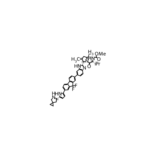 COC(=O)N[C@@H](C(=O)N1[C@H](C)C[C@H](C)[C@H]1c1nc2ccc(-c3ccc4c(c3)C(F)(F)c3cc(-c5ccc([C@@H]6CC7(CC7)CN6)[nH]5)ccc3-4)cc2[nH]1)C(C)C